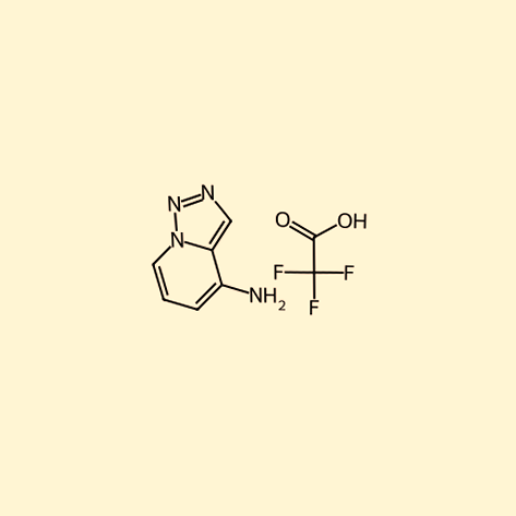 Nc1cccn2nncc12.O=C(O)C(F)(F)F